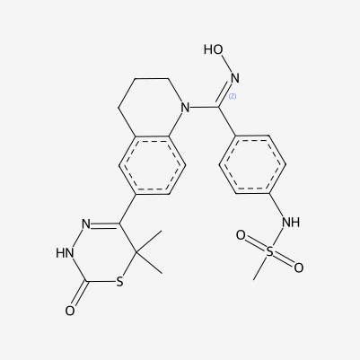 CC1(C)SC(=O)NN=C1c1ccc2c(c1)CCCN2/C(=N\O)c1ccc(NS(C)(=O)=O)cc1